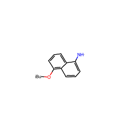 CCC(C)Oc1cccc2c([NH])cccc12